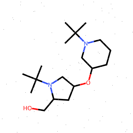 CC(C)(C)N1CCCC(OC2CC(CO)N(C(C)(C)C)C2)C1